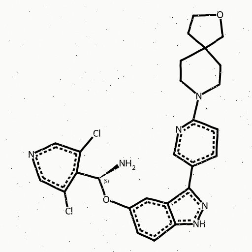 N[C@@H](Oc1ccc2[nH]nc(-c3ccc(N4CCC5(CCOC5)CC4)nc3)c2c1)c1c(Cl)cncc1Cl